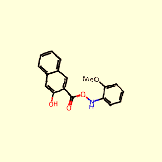 COc1ccccc1NOC(=O)c1cc2ccccc2cc1O